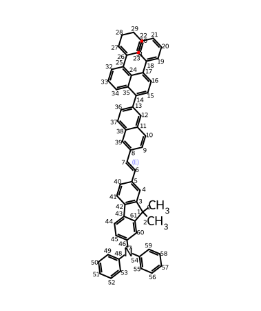 CC1(C)c2cc(/C=C/c3ccc4cc(-c5ccc(-c6ccccc6)c6c(C7=CCCC=C7)cccc56)ccc4c3)ccc2-c2ccc(N(c3ccccc3)c3ccccc3)cc21